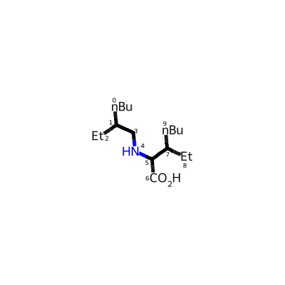 CCCCC(CC)CNC(C(=O)O)C(CC)CCCC